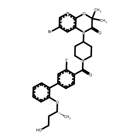 C[C@H](CCO)Oc1ccccc1-c1ccc(C(=O)N2CCC(N3C(=O)C(C)(C)Oc4ncc(Br)cc43)CC2)c(F)c1